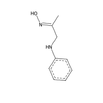 CC(CNc1ccccc1)=NO